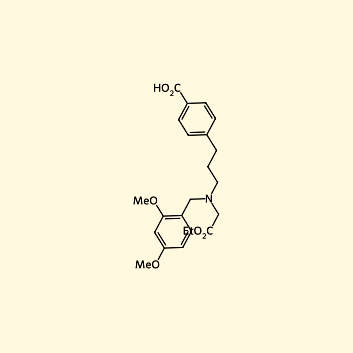 CCOC(=O)CN(CCCc1ccc(C(=O)O)cc1)Cc1ccc(OC)cc1OC